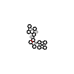 c1ccc(-c2ccccc2N(c2ccc3c(c2)C2(c4ccccc4-c4ccccc42)c2ccccc2-3)c2ccc3oc4c(-c5cccc6c5sc5ccccc56)c5c(cc4c3c2)oc2ccccc25)cc1